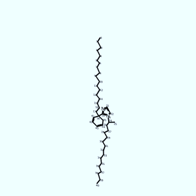 CCCCCCCCCCCCCCCCCCC1(c2nccn2C(C)CCCCCCCCCCCCCCC)C=CC=CC1